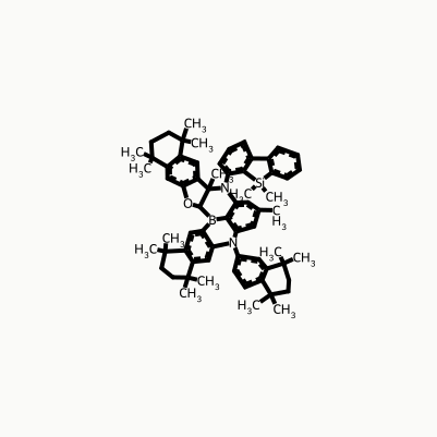 Cc1cc2c3c(c1)N(c1cccc4c1[Si](C)(C)c1ccccc1-4)C1(C)c4cc5c(cc4OC1B3c1cc3c(cc1N2c1ccc2c(c1)C(C)(C)CCC2(C)C)C(C)(C)CCC3(C)C)C(C)(C)CCC5(C)C